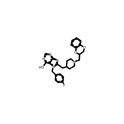 Oc1ncnc2nc(CC3CCN(CC4COc5ccccc5O4)CC3)n(Cc3ccc(F)cc3)c12